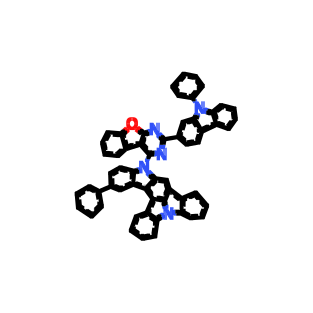 c1ccc(-c2ccc3c(c2)c2c4c5ccccc5n5c6ccccc6c(cc2n3-c2nc(-c3ccc6c7ccccc7n(-c7ccccc7)c6c3)nc3oc6ccccc6c23)c45)cc1